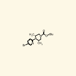 C[C@@H]1CN(C(=O)OC(C)(C)C)C[C@H](C)N1c1ccc(Br)cn1